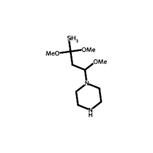 COC(CC([SiH3])(OC)OC)N1CCNCC1